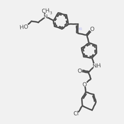 CN(CCO)c1ccc(/C=C/C(=O)c2ccc(NC(=O)COC3=CC(Cl)CC=C3)cc2)cc1